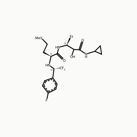 CC[C@H](NC(=O)[C@H](CCSC)N[C@@H](c1ccc(F)cc1)C(F)(F)F)C(O)C(=O)NC1CC1